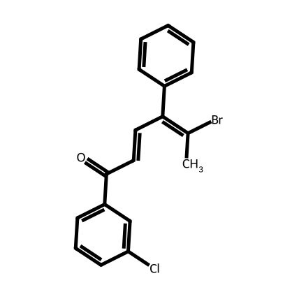 CC(Br)=C(C=CC(=O)c1cccc(Cl)c1)c1ccccc1